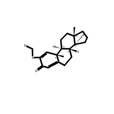 C[C@@]12CCC[C@H]1[C@@H]1CCC3=CC(=O)C(SCF)=C[C@]3(C)[C@H]1CC2